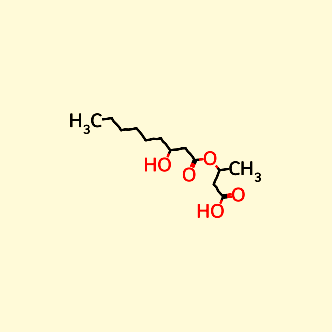 CCCCCCC(O)CC(=O)OC(C)CC(=O)O